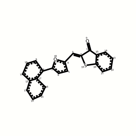 O=C1C(=Cc2ccc(-c3cccc4ccccc34)o2)Sc2ccccc21